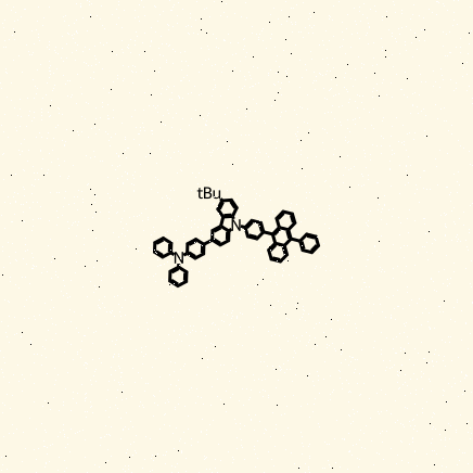 CC(C)(C)c1ccc2c(c1)c1cc(-c3ccc(N(c4ccccc4)c4ccccc4)cc3)ccc1n2-c1ccc(-c2c3ccccc3c(-c3ccccc3)c3ccccc23)cc1